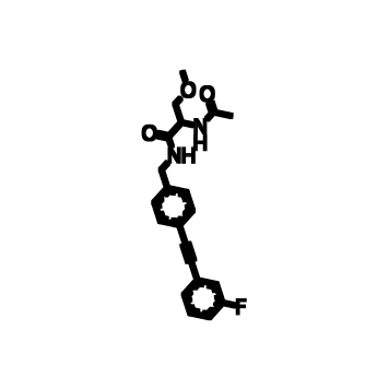 COCC(NC(C)=O)C(=O)NCc1ccc(C#Cc2cccc(F)c2)cc1